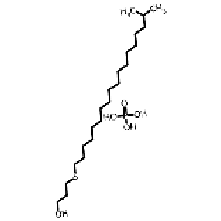 CC(C)CCCCCCCCCCCCCCCCSCCCO.O=P(O)(O)O